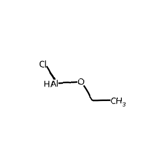 CC[O][AlH][Cl]